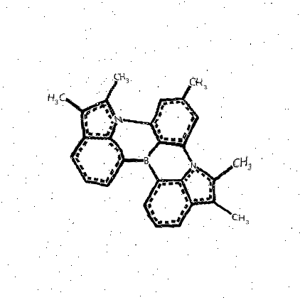 Cc1cc2c3c(c1)-n1c(C)c(C)c4cccc(c41)B3c1cccc3c(C)c(C)n-2c13